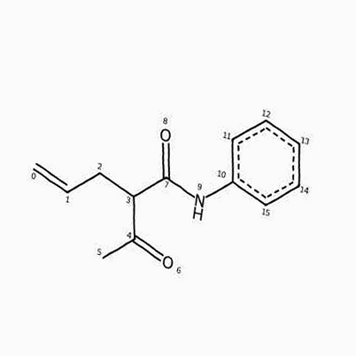 C=CCC(C(C)=O)C(=O)Nc1ccccc1